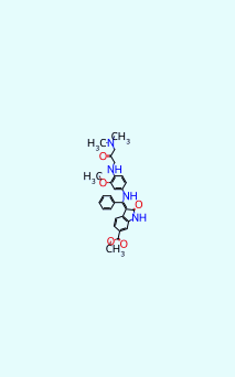 COC(=O)c1ccc2c(c1)NC(=O)/C2=C(\Nc1ccc(NCC(=O)CN(C)C)c(OC)c1)c1ccccc1